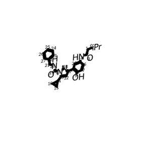 CC(C)CC(=O)Nc1ccc(O)c(-c2cc(C3CC3)n(C(=O)NCc3ccccc3)n2)c1